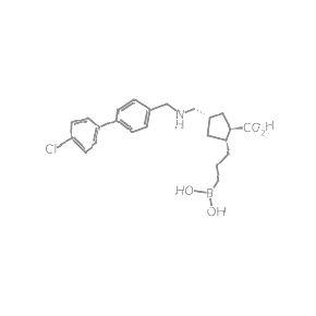 O=C(O)[C@@H]1C[C@@H](CNCc2ccc(-c3ccc(Cl)cc3)cc2)C[C@@H]1CCCB(O)O